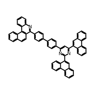 c1ccc2c(c1)cc(-c1cc(-c3ccc(-c4ccc(-c5nc6ccccc6c6c5ccc5ccccc56)cc4)cc3)nc(-c3cc4ccccc4c4ccccc34)n1)c1ccccc12